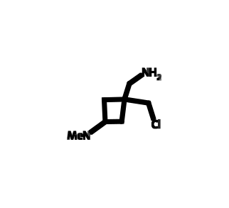 CNC1CC(CN)(CCl)C1